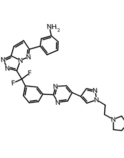 Nc1cccc(-c2ccc3nnc(C(F)(F)c4cccc(-c5ncc(-c6cnn(CCN7CCCC7)c6)cn5)c4)n3n2)c1